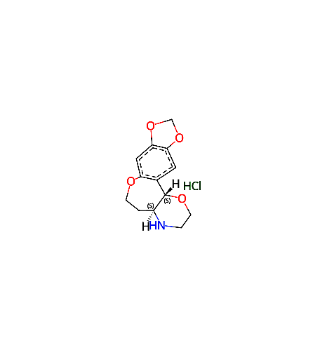 Cl.c1c2c(cc3c1OCC[C@@H]1NCCO[C@@H]31)OCO2